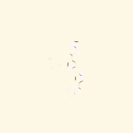 COC[C@@H](C)Oc1cc(C(=O)Nc2nc(C)cs2)cc(Oc2ccc(C(=O)N3CCOCC3)cn2)n1